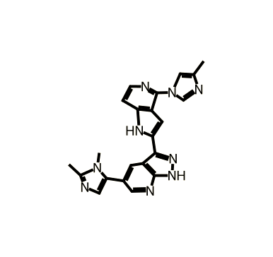 Cc1cn(-c2nccc3[nH]c(-c4n[nH]c5ncc(-c6cnc(C)n6C)cc45)cc23)cn1